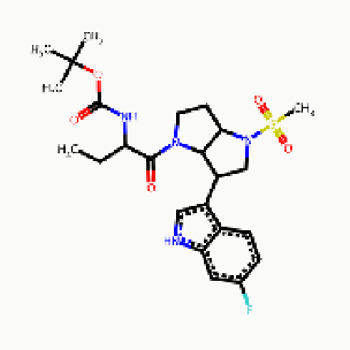 CCC(NC(=O)OC(C)(C)C)C(=O)N1CCC2C1C(c1c[nH]c3cc(F)ccc13)CN2S(C)(=O)=O